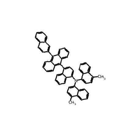 Cc1ccc(N(c2ccc(C)c3ccccc23)c2ccc(-c3c4ccccc4c(-c4ccc5ccccc5c4)c4ccccc34)c3ccccc23)c2ccccc12